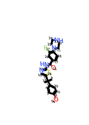 COc1ccc(C(C)(C)c2cnc(NC(=O)c3ccc(N4CCNCC4)c(F)c3)s2)cc1